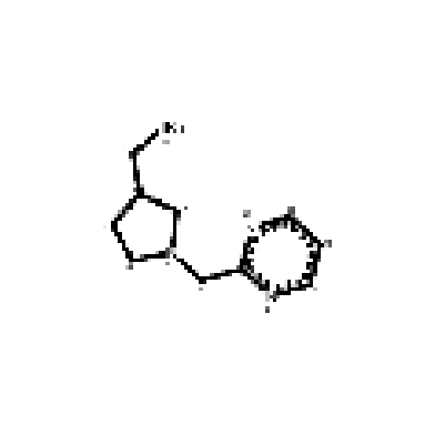 CC(C)(C)CC1CCN(Cc2ncccn2)C1